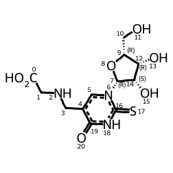 O=C(O)CNCc1cn([C@@H]2O[C@H](CO)[C@H](O)[C@@H]2O)c(=S)[nH]c1=O